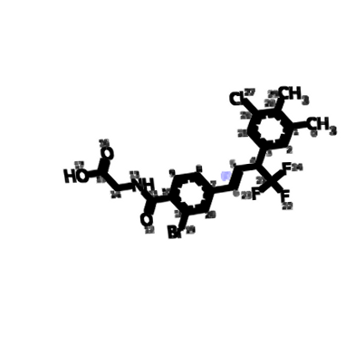 Cc1cc(C(/C=C/c2ccc(C(=O)NCC(=O)O)c(Br)c2)C(F)(F)F)cc(Cl)c1C